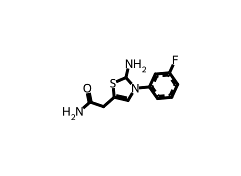 NC(=O)CC1=CN(c2cccc(F)c2)C(N)S1